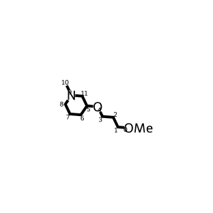 COCCCOC1CCCN(C)C1